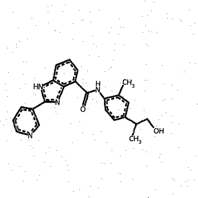 Cc1cc(C(C)CO)ccc1NC(=O)c1cccc2[nH]c(-c3cccnc3)nc12